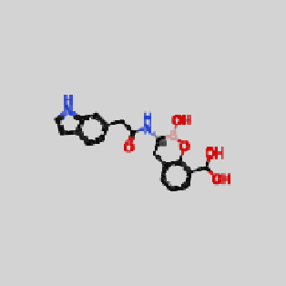 O=C(Cc1ccc2cc[nH]c2c1)N[C@H]1Cc2cccc(C(O)O)c2OB1O